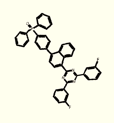 O=P(c1ccccc1)(c1ccccc1)c1ccc(-c2ccc(-c3nc(-c4cccc(F)c4)nc(-c4cccc(F)c4)n3)c3ccccc23)cc1